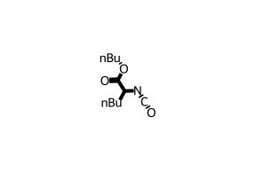 CCCCOC(=O)C(CCCC)N=C=O